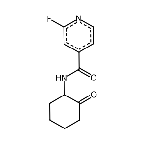 O=C(NC1CCCCC1=O)c1ccnc(F)c1